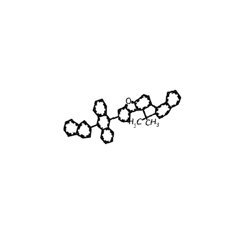 CC1(C)c2ccc3ccccc3c2-c2ccc3oc4cc(-c5c6ccccc6c(-c6ccc7ccccc7c6)c6ccccc56)ccc4c3c21